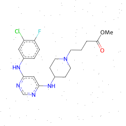 COC(=O)CCCN1CCC(Nc2cc(Nc3ccc(F)c(Cl)c3)ncn2)CC1